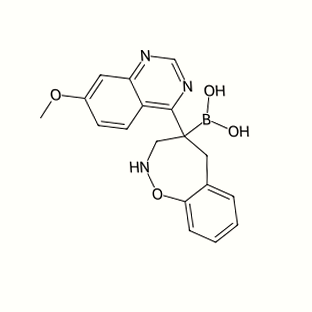 COc1ccc2c(C3(B(O)O)CNOc4ccccc4C3)ncnc2c1